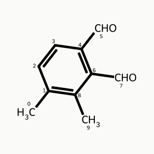 Cc1ccc(C=O)c(C=O)c1C